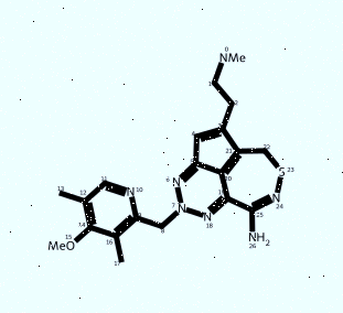 CNCCc1cc2nn(Cc3ncc(C)c(OC)c3C)nc3c-2c1CSN=C3N